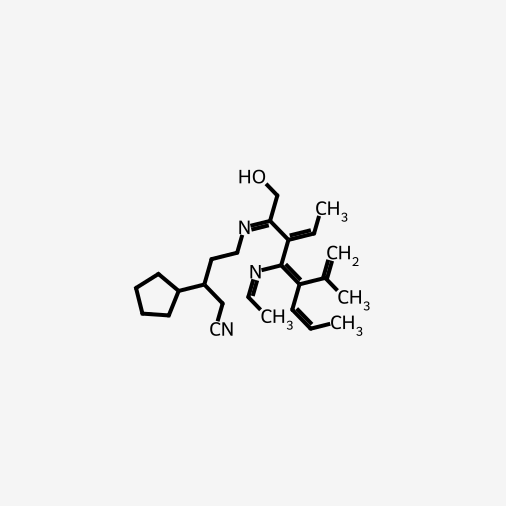 C=C(C)C(/C=C\C)=C(/N=C\C)C(=C\C)\C(CO)=N/CCC(CC#N)C1CCCC1